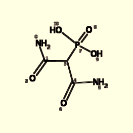 NC(=O)C(C(N)=O)P(=O)(O)O